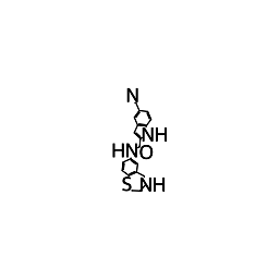 N#Cc1ccc2[nH]c(C(=O)Nc3ccc4c(c3)CNCCS4)cc2c1